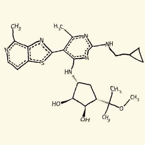 COC(C)(C)[C@H]1C[C@@H](Nc2nc(NCC3CC3)nc(C)c2-c2nc3c(C)nccc3s2)[C@H](O)[C@@H]1O